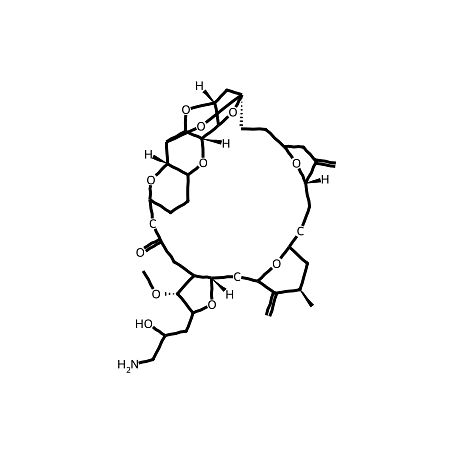 C=C1C2C[C@@H]3OC(CC(O)CN)[C@H](OC)C3CC(=O)CC3CCC4O[C@@H]5C6O[C@@H]7C[C@](CCC8CC(=C)[C@H](CCC(C[C@H]1C)O2)O8)(OC6[C@H]4O3)OC57